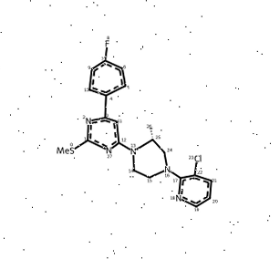 CSc1nc(-c2ccc(F)cc2)cc(N2CCN(c3ncccc3Cl)C[C@H]2C)n1